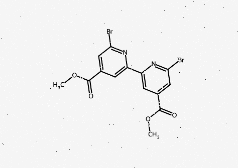 COC(=O)c1cc(Br)nc(-c2cc(C(=O)OC)cc(Br)n2)c1